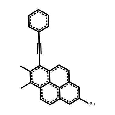 Cc1c(C)c2ccc3cc(C(C)(C)C)cc4ccc(c1C#Cc1ccccc1)c2c34